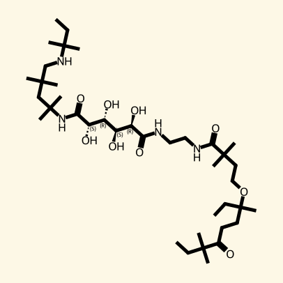 CCC(C)(C)NCC(C)(C)CC(C)(C)NC(=O)[C@@H](O)[C@H](O)[C@H](O)[C@@H](O)C(=O)NCCNC(=O)C(C)(C)CCOC(C)(CC)CCC(=O)C(C)(C)CC